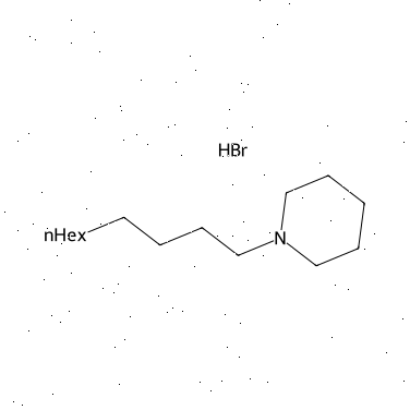 Br.CCCCCCCCCCN1CCCCC1